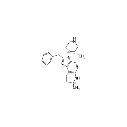 C[C@H]1CCc2c(ccc3c2nc(Cc2ccccc2)n3[C@@H]2CCNC[C@@H]2C)N1